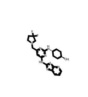 O[C@H]1CC[C@H](Nc2nc(CN3CCC(F)(F)C3)cc(Nc3nc4cccnc4s3)n2)CC1